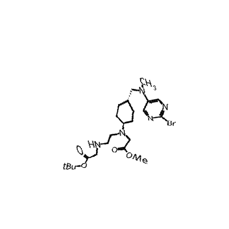 COC(=O)CN(CCNCC(=O)OC(C)(C)C)[C@H]1CC[C@H](CN(C)c2cnc(Br)nc2)CC1